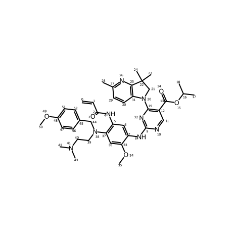 C=CC(=O)Nc1cc(Nc2ncc(C(=O)OC(C)C)c(N3CC(C)(C)c4nc(C)ccc43)n2)c(OC)cc1N(CCN(C)C)Cc1ccc(OC)cc1